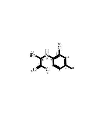 Cc1ccc(NC(C(=O)Cl)C(C)C)c(Cl)c1